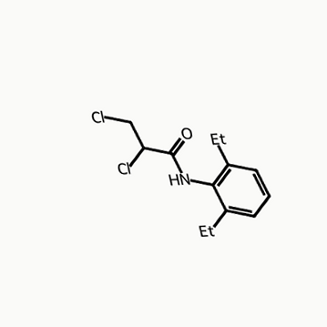 CCc1cccc(CC)c1NC(=O)C(Cl)CCl